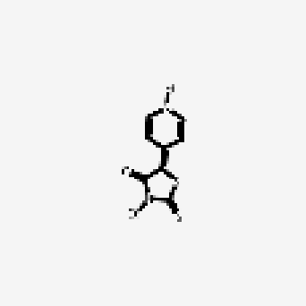 CCN1C=CC(=C2SC(=S)N(CC)C2=O)C=C1